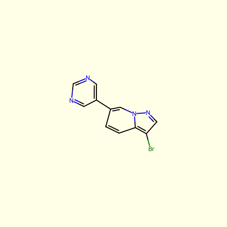 Brc1cnn2cc(-c3cncnc3)ccc12